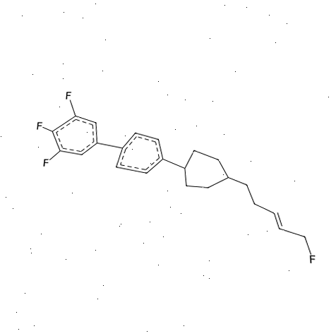 FCC=CCCC1CCC(c2ccc(-c3cc(F)c(F)c(F)c3)cc2)CC1